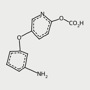 Nc1cccc(Oc2ccc(OC(=O)O)nc2)c1